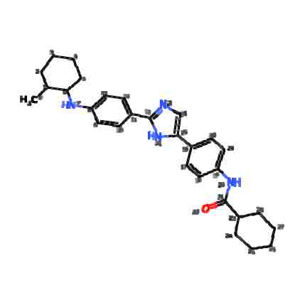 CC1CCCCC1Nc1ccc(-c2ncc(-c3ccc(NC(=O)C4CCCCC4)cc3)[nH]2)cc1